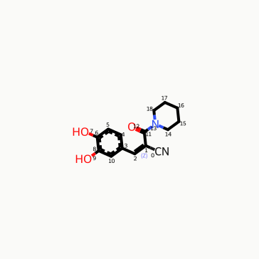 N#C/C(=C/c1ccc(O)c(O)c1)C(=O)N1CCCCC1